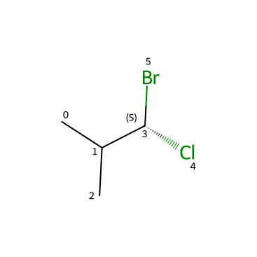 CC(C)[C@@H](Cl)Br